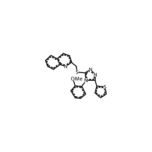 COc1ccccc1-n1c(SCc2ccc3ccccc3n2)nnc1-c1cccs1